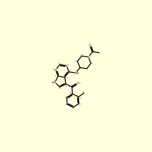 CC(=O)N1CCC(Nc2ncnc3[nH]cc(C(=O)c4ccccc4C)c23)CC1